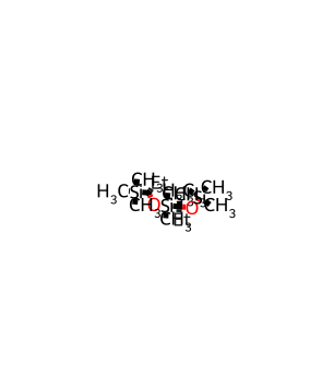 CCC(O[Si](C)(C)C(C)(CC)O[Si](C)(C)C)[Si](C)(C)C